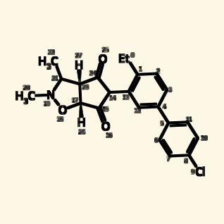 CCc1ccc(-c2ccc(Cl)cc2)cc1C1C(=O)[C@@H]2ON(C)C(C)[C@@H]2C1=O